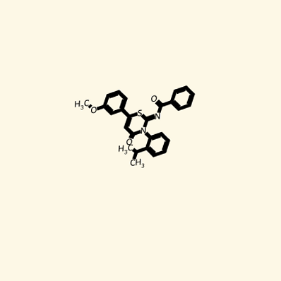 COc1cccc(-c2cc(=O)n(-c3ccccc3C(C)C)c(=NC(=O)c3ccccc3)s2)c1